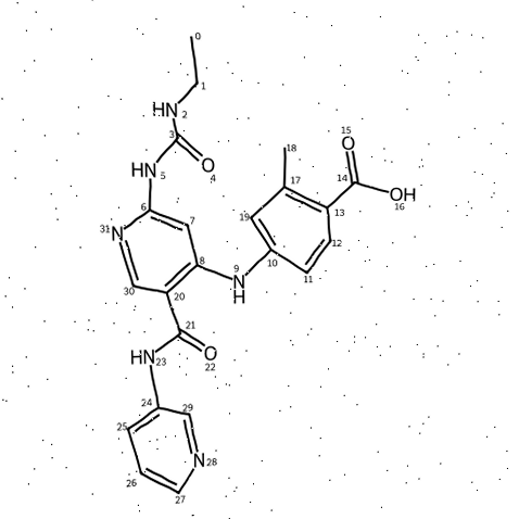 CCNC(=O)Nc1cc(Nc2ccc(C(=O)O)c(C)c2)c(C(=O)Nc2cccnc2)cn1